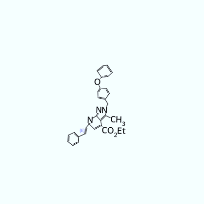 CCOC(=O)c1cc(/C=C/c2ccccc2)nc2nn(Cc3ccc(Oc4ccccc4)cc3)c(C)c12